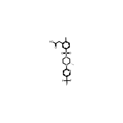 Cc1ccc(S(=O)(=O)N2CCN(c3ccc(C(F)(F)F)cn3)[C@@H](C)C2)cc1CC(=O)O